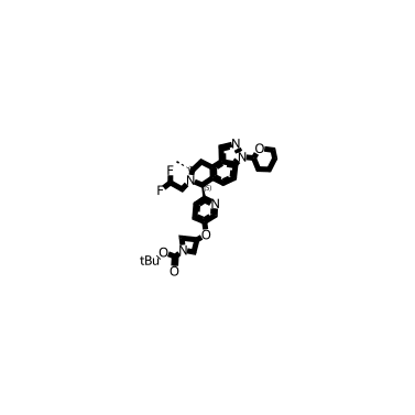 C[C@@H]1Cc2c(ccc3c2cnn3C2CCCCO2)[C@@H](c2ccc(OC3CN(C(=O)OC(C)(C)C)C3)cn2)N1CC(F)F